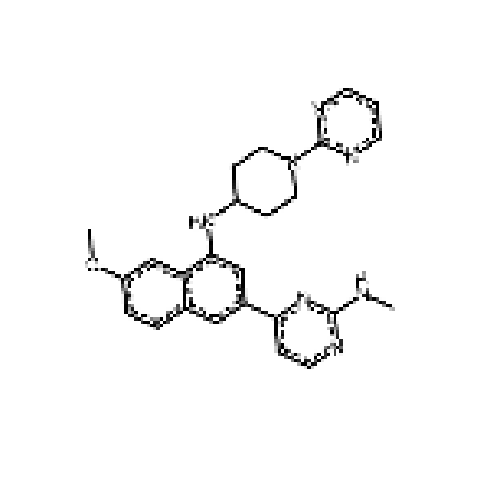 CNc1nccc(-c2cc(NC3CCN(c4ncccn4)CC3)c3cc(OC)ccc3c2)n1